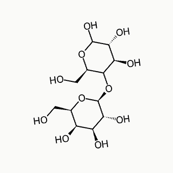 OC[C@H]1OC(O)[C@H](O)[C@@H](O)C1O[C@@H]1O[C@H](CO)[C@H](O)[C@H](O)[C@H]1O